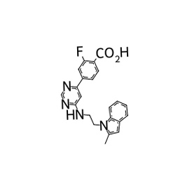 Cc1cc2ccccc2n1CCNc1cc(-c2ccc(C(=O)O)c(F)c2)ncn1